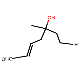 CC(C)CCC(C)(O)CC=CC=O